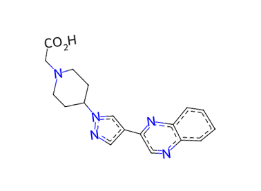 O=C(O)CN1CCC(n2cc(-c3cnc4ccccc4n3)cn2)CC1